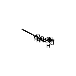 CCCCCCCCCCCCCCOC(=O)CCNC(=O)Nc1cc(C)c(-c2nn3nc(C(C)(C)C)c(Cl)c3[nH]2)c(C)c1